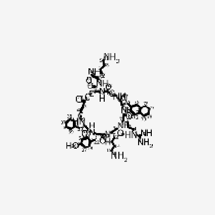 N=C(N)NCCC[C@H]1NC(=O)[C@H](CCCCN)NC(=O)[C@H](Cc2ccc(O)cc2)NC(=O)[C@H](Cc2ccccc2)NC/C=C/C(=O)CC[C@H](C(=O)N[C@@H](CCCCN)C(N)=O)NC(=O)CNC(=O)[C@H](Cc2ccc3c(c2)CCC=C3)NC1=O